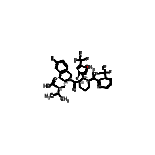 CCC[C@H]1N(C(=O)c2ncccc2C(F)(F)F)CCC[C@@]1(Oc1csc(C(F)(F)F)c1)C(=O)N1Cc2ccc(F)cc2C[C@H]1C[C@H](C(=O)O)C(C)C